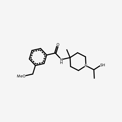 COCc1cccc(C(=O)NC2(C)CCN(C(C)S)CC2)c1